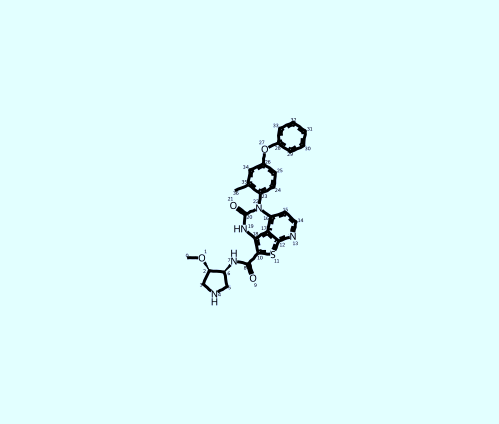 CO[C@@H]1CNC[C@@H]1NC(=O)c1sc2nccc3c2c1NC(=O)N3c1ccc(Oc2ccccc2)cc1C